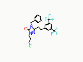 O=c1n(CCCCl)nc(CCc2cc(C(F)(F)F)cc(C(F)(F)F)c2)n1Cc1ccccc1